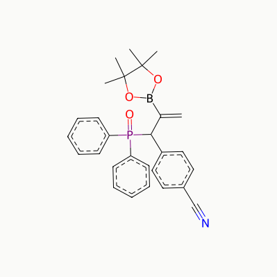 C=C(B1OC(C)(C)C(C)(C)O1)C(c1ccc(C#N)cc1)P(=O)(c1ccccc1)c1ccccc1